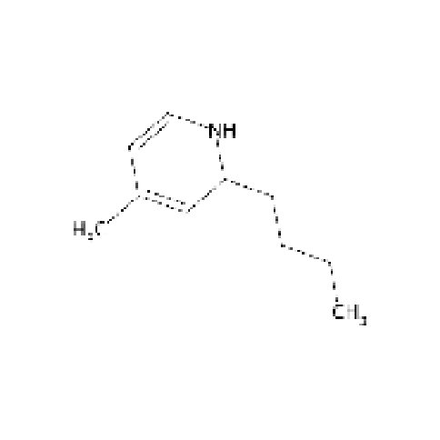 CCCCC1C=C(C)C=CN1